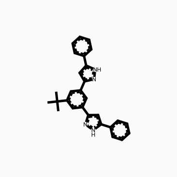 CC(C)(C)c1cc(-c2cc(-c3ccccc3)[nH]n2)cc(-c2cc(-c3ccccc3)[nH]n2)c1